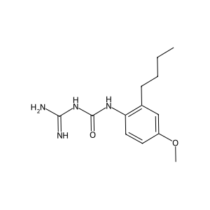 CCCCc1cc(OC)ccc1NC(=O)NC(=N)N